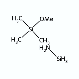 CO[Si](C)(C)C.N[SiH3]